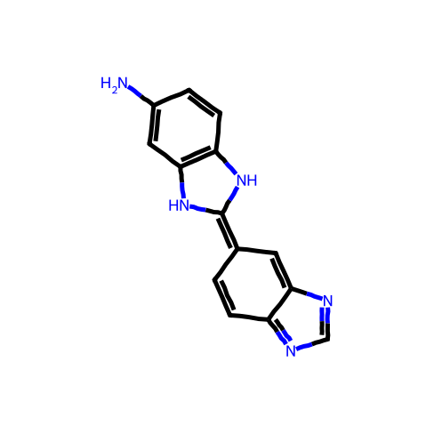 Nc1ccc2c(c1)NC(=c1ccc3c(c1)N=CN=3)N2